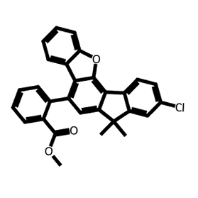 COC(=O)c1ccccc1-c1cc2c(c3oc4ccccc4c13)-c1ccc(Cl)cc1C2(C)C